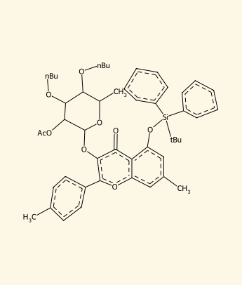 CCCCOC1C(C)OC(Oc2c(-c3ccc(C)cc3)oc3cc(C)cc(O[Si](c4ccccc4)(c4ccccc4)C(C)(C)C)c3c2=O)C(OC(C)=O)C1OCCCC